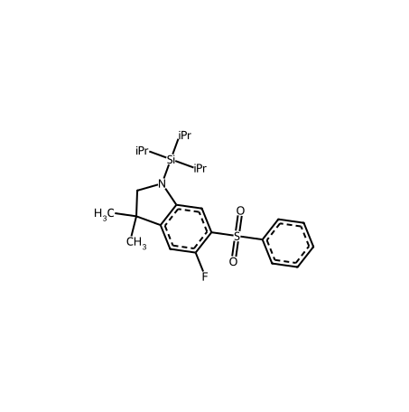 CC(C)[Si](C(C)C)(C(C)C)N1CC(C)(C)c2cc(F)c(S(=O)(=O)c3ccccc3)cc21